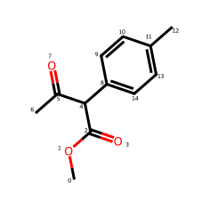 COC(=O)C(C(C)=O)c1ccc(C)cc1